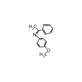 COc1ccc(N=C(C)c2ccccc2)cc1